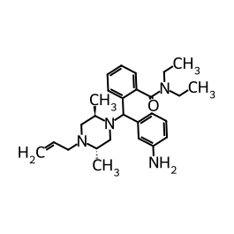 C=CCN1C[C@@H](C)N(C(c2cccc(N)c2)c2ccccc2C(=O)N(CC)CC)C[C@@H]1C